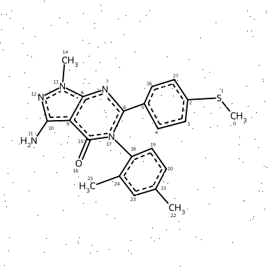 CSc1ccc(-c2nc3c(c(N)nn3C)c(=O)n2-c2ccc(C)cc2C)cc1